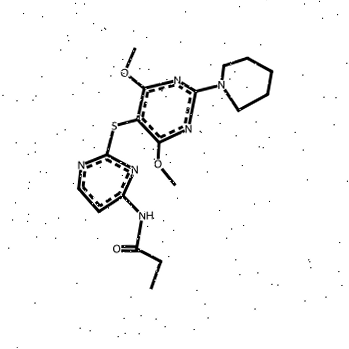 CCC(=O)Nc1ccnc(Sc2c(OC)nc(N3CCCCC3)nc2OC)n1